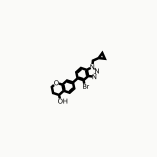 OC1CCOc2cc(-c3ccc4c(nnn4CC4CC4)c3Br)ccc21